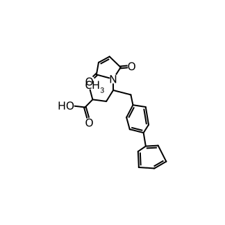 CC(CC(Cc1ccc(-c2ccccc2)cc1)N1C(=O)C=CC1=O)C(=O)O